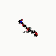 CCCc1cc(-c2ccc3cc(OC4CCCCO4)ccc3c2)cc(C=O)c1OC(=O)CCc1ccc(OCCCN2C(=O)C=CC2=O)c(C)c1